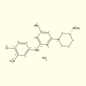 CCCCc1cc(N2CCC[C@@H](NC(C)=O)C2)nc(Nc2ccc(Cl)c(N)c2)n1.Cl